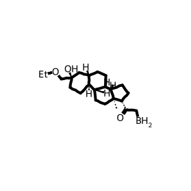 BCC(=O)[C@H]1CC[C@H]2[C@@H]3CC[C@H]4C[C@@](O)(COCC)CC[C@@H]4[C@H]3CC[C@]12C